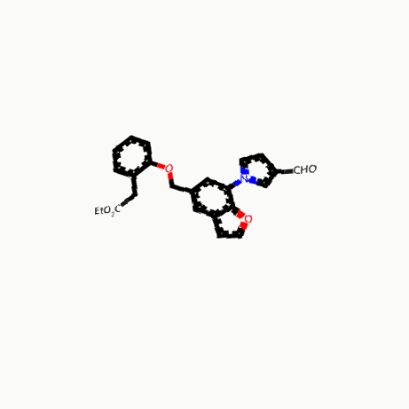 CCOC(=O)Cc1ccccc1OCc1cc(-n2ccc(C=O)c2)c2occc2c1